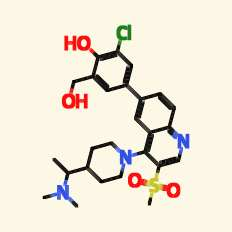 CC(C1CCN(c2c(S(C)(=O)=O)cnc3ccc(-c4cc(Cl)c(O)c(CO)c4)cc23)CC1)N(C)C